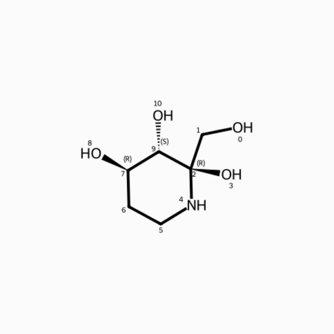 OC[C@]1(O)NCC[C@@H](O)[C@@H]1O